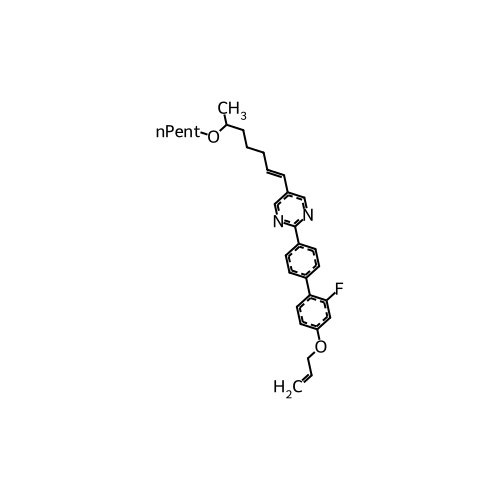 C=CCOc1ccc(-c2ccc(-c3ncc(/C=C/CCCC(C)OCCCCC)cn3)cc2)c(F)c1